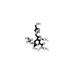 CN(C)C(=O)C1c2c(c(Cn3cc(CO)nn3)nn2C)C2CN1C(=O)N2OS(=O)(=O)O